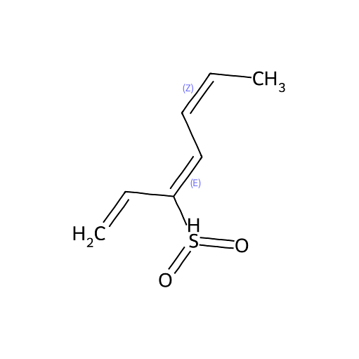 C=C/C(=C\C=C/C)[SH](=O)=O